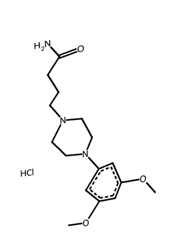 COc1cc(OC)cc(N2CCN(CCCC(N)=O)CC2)c1.Cl